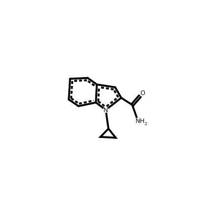 NC(=O)c1cc2ccccc2n1C1CC1